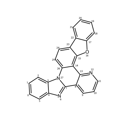 c1ccc2c(c1)nc1c3cccnc3c3c4oc5ccccc5c4ccc3n21